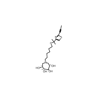 CC#Cc1nc(C(C)(C)OCCCCCCN2C[C@H](O)[C@@H](O)[C@H](O)[C@@H](O)C2)cs1